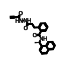 C#CC(=O)NNC(=O)CCc1ccccc1C(=O)N[C@H](C)c1cccc2ccccc12